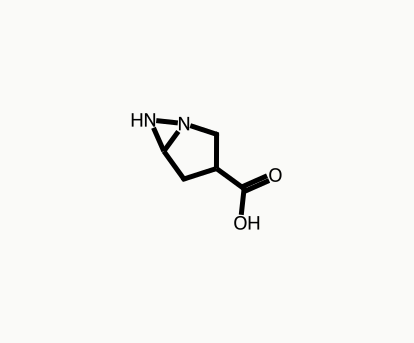 O=C(O)C1CC2NN2C1